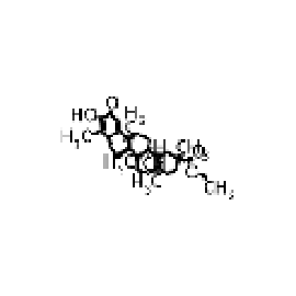 CCOC(=O)[C@]1(C)CC[C@]2(C)CC[C@]3(C)C4=CC=C5C(=CC(=O)C(O)=C5C)[C@]4(C)CC[C@@]3(C)[C@@H]2C1